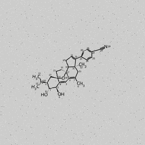 CC1=C2C=C3[C@@H](O)[C@H](O)[C@@H](N(C)C)C[C@]34CC[C@]2(O4)C2CC=C(c3ccc(C#N)cc3)[C@@]2(C)C1